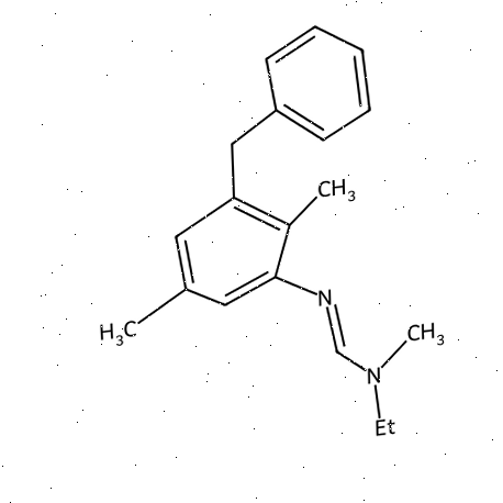 CCN(C)C=Nc1cc(C)cc(Cc2ccccc2)c1C